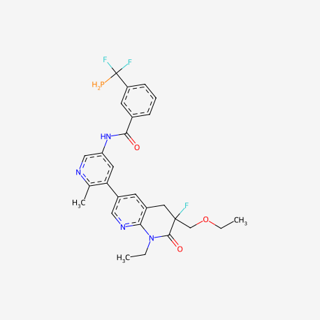 CCOCC1(F)Cc2cc(-c3cc(NC(=O)c4cccc(C(F)(F)P)c4)cnc3C)cnc2N(CC)C1=O